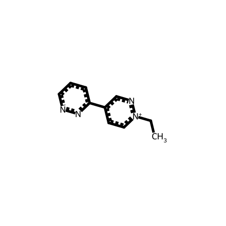 CC[n+]1ccc(-c2cccnn2)cn1